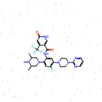 CC1CN(c2cc(F)c(N3CCN(c4ncccn4)CC3)cc2NC(=O)c2c[nH]c(=O)cc2C(F)(F)F)CC(C)N1C